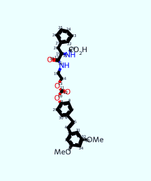 COc1cc(/C=C/c2ccc(OC(=O)OCCNC(=O)C(Cc3ccccc3)NC(=O)O)cc2)cc(OC)c1